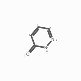 O=C1C=C[C]=N[N]1